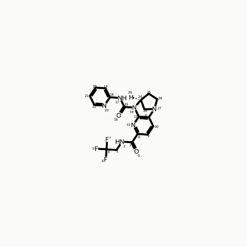 O=C(NCC(F)(F)F)c1ccc2c(n1)N(C(=O)Nc1ccccn1)[C@H]1CCN2C1